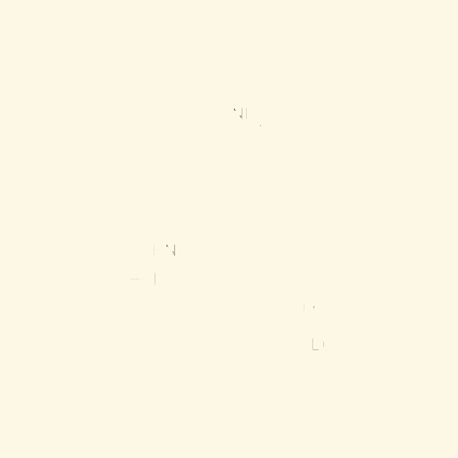 CCOc1ccc2[nH]cc(CCN)c2c1.Cl